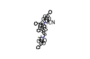 CC1=C(C)/C(=C\c2cc3sc4c5c(sc4c3s2)C=C(/C=C2/C(=O)N(C(=O)OCc3ccccc3)C(=O)C(C#N)=C2C)C5(C(=O)OCc2ccccc2)C(=O)OCc2ccccc2)C(=O)N(C(=O)OCc2ccccc2)C1=O